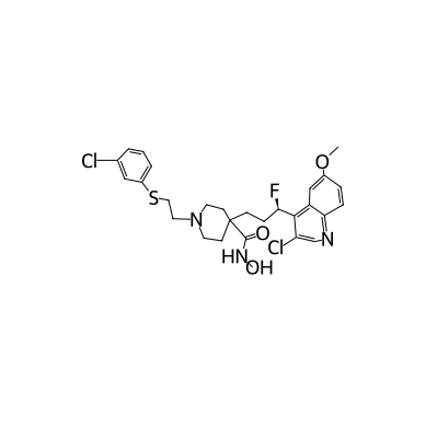 COc1ccc2ncc(Cl)c([C@H](F)CCC3(C(=O)NO)CCN(CCSc4cccc(Cl)c4)CC3)c2c1